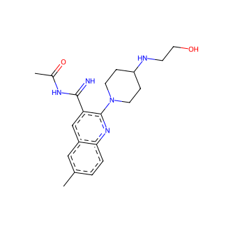 CC(=O)NC(=N)c1cc2cc(C)ccc2nc1N1CCC(NCCO)CC1